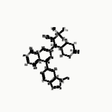 Cn1ccc2ccc(-c3cc(N(C(=O)C(F)(F)F)C4CCNCC4)cc4nccnc34)cc21